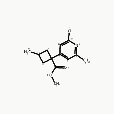 COC(=O)C1(c2cc(C)nc(Cl)c2)CC(C)C1